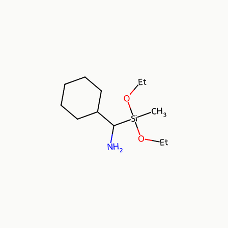 CCO[Si](C)(OCC)C(N)C1CCCCC1